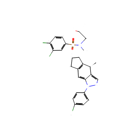 C[C@H]1C2=CNN(c3ccc(F)cc3)C2=CC2=C1[C@@H](CN(C[C@@H](C)O)S(=O)(=O)c1ccc(F)c(Cl)c1)CC2